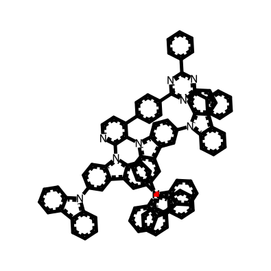 c1ccc(-c2nc(-c3ccccc3)nc(-c3ccc(-c4ccnc(-n5c6ccc(-n7c8ccccc8c8ccccc87)cc6c6cc(-n7c8ccccc8c8ccccc87)ccc65)c4-n4c5ccc(-n6c7ccccc7c7ccccc76)cc5c5cc(-n6c7ccccc7c7ccccc76)ccc54)cc3)n2)cc1